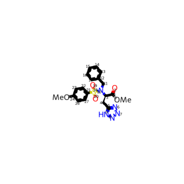 COC(=O)[C@@H](Cc1nnn[nH]1)N(Cc1ccccc1)S(=O)(=O)c1ccc(OC)cc1